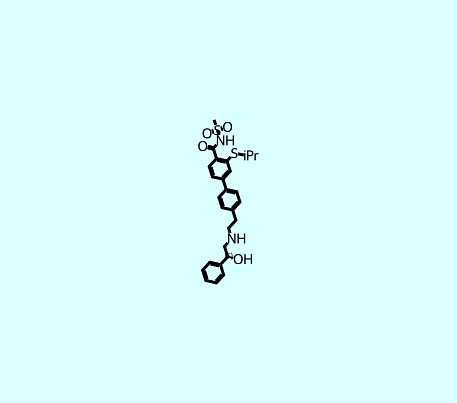 CC(C)Sc1cc(-c2ccc(CCNC[C@@H](O)c3ccccc3)cc2)ccc1C(=O)NS(C)(=O)=O